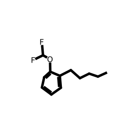 CCCCCc1ccccc1OC(F)F